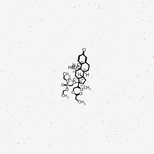 CCOP(=O)(CO[C@]1(C(=O)COC(=O)CC)[C@@H](C)C[C@H]2[C@@H]3CCC4=CC(=O)C=C[C@]4(C)[C@@]3(C)[C@@H](O)C[C@@]21C)OCC